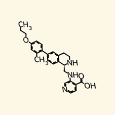 CCCOc1ccc(-c2ccc3c(c2)CCN[C@H]3CNc2cnccc2C(=O)O)c(C)c1